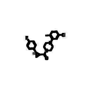 Cc1ccc(Cl)cc1N1CCN(C(=O)C2C[C@H]2c2ccc(F)cc2)CC1